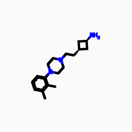 Cc1cccc(N2CCN(CC[C@H]3C[C@@H](N)C3)CC2)c1C